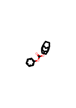 O=C(Oc1ccccc1)OC1C2=C3CCC(=C1CC2)C3